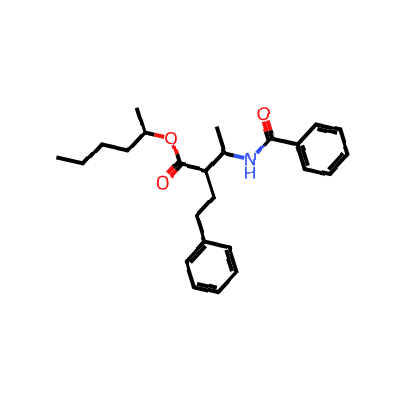 CCCCC(C)OC(=O)C(CCc1ccccc1)C(C)NC(=O)c1ccccc1